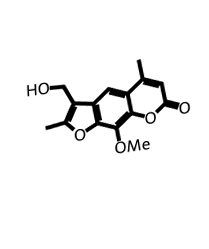 COc1c2oc(=O)cc(C)c2cc2c(CO)c(C)oc12